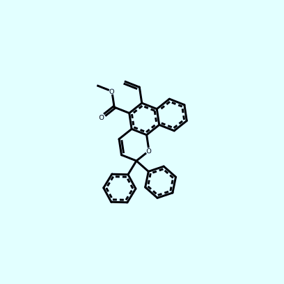 C=Cc1c(C(=O)OC)c2c(c3ccccc13)OC(c1ccccc1)(c1ccccc1)C=C2